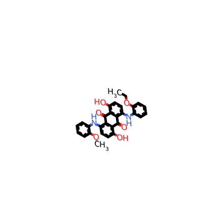 CCOc1ccccc1Nc1ccc(O)c2c1C(=O)c1c(O)ccc(Nc3ccccc3OC)c1C2=O